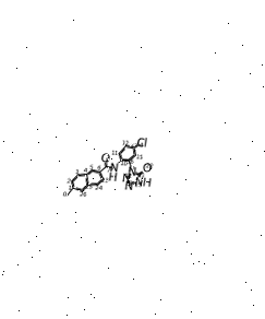 Cc1ccc2cc(C(=O)Nc3ccc(Cl)cc3-n3nn[nH]c3=O)ccc2c1